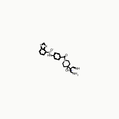 N=C/C(=C\N)C1(O)CCN(C(=O)c2ccc(N[S+]([O-])c3cccc4scnc34)cc2)CC1